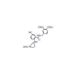 COc1ccc(CNC(=O)c2cc(C#N)ccc2N[C@H]2CCN(C=O)C2)cc1OC